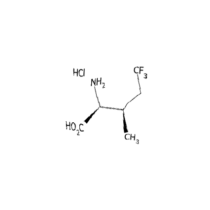 C[C@H](CC(F)(F)F)[C@H](N)C(=O)O.Cl